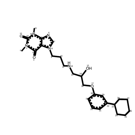 Cn1c(=O)c2c(ncn2CCCNCC(O)COc2cccc(C3CCCCC3)c2)n(C)c1=O